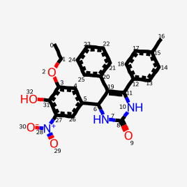 CCOc1cc(C2NC(=O)NC(c3ccc(C)cc3)=C2c2ccccc2)cc([N+](=O)[O-])c1O